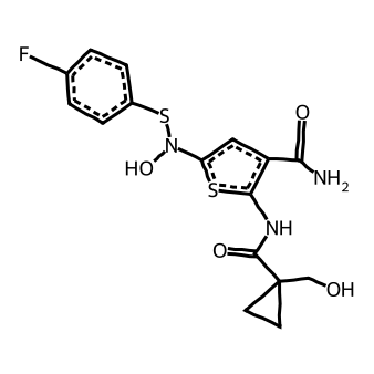 NC(=O)c1cc(N(O)Sc2ccc(F)cc2)sc1NC(=O)C1(CO)CC1